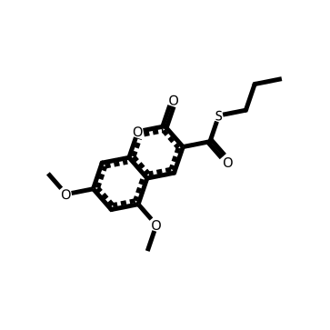 CCCSC(=O)c1cc2c(OC)cc(OC)cc2oc1=O